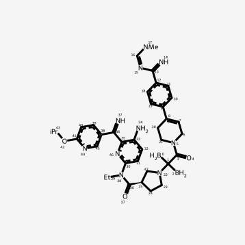 BC(B)(C(=O)N1CC=C(c2ccc(C(=N)/N=C\NC)cc2)CC1)N1CC[C@@H](C(=O)N(CC)c2ccc(N)c(C(=N)c3ccc(OC(C)C)nc3)n2)C1